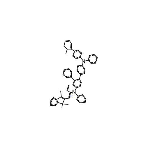 C=C/C(=C\C1=C(C)c2ccccc2C1(C)C)N(c1ccccc1)c1ccc(-c2ccc(N(c3ccccc3)c3ccc(C4=CC=CCC4C)cc3)cc2)c(-c2ccccc2)c1